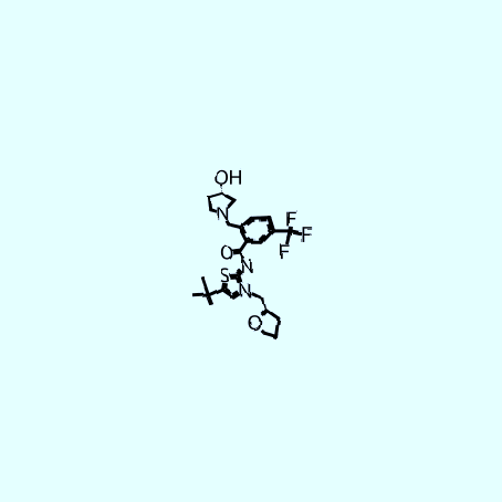 CC(C)(C)c1cn(C[C@H]2CCCO2)c(=NC(=O)c2cc(C(F)(F)F)ccc2CN2CC[C@H](O)C2)s1